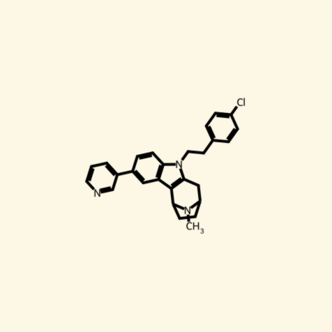 CN1C2CCC1c1c(n(CCc3ccc(Cl)cc3)c3ccc(-c4cccnc4)cc13)C2